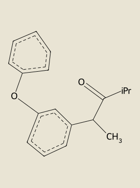 CC(C)C(=O)C(C)c1cccc(Oc2ccccc2)c1